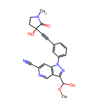 COC(O)c1nn(-c2cccc(C#C[C@]3(O)CCN(C)C3=O)c2)c2cc(C#N)ncc12